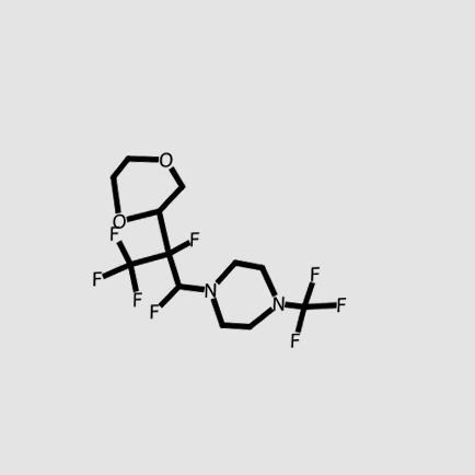 FC(N1CCN(C(F)(F)F)CC1)C(F)(C1COCCO1)C(F)(F)F